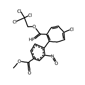 COC(=O)c1ccc(C2=C(C(=P)OCC(Cl)(Cl)Cl)C=CC(Cl)=CC2)c(N=O)c1